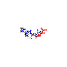 Br.O=C(O)CCC(NC(=O)NC(CCC(=O)NCCCCN(Cc1ccccn1)Cc1ccccn1)C(=O)O)C(=O)O